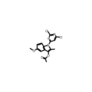 COc1ccc2c(c1)c(OC(C)=O)c(C)n2-c1cc(Cl)nc(Cl)n1